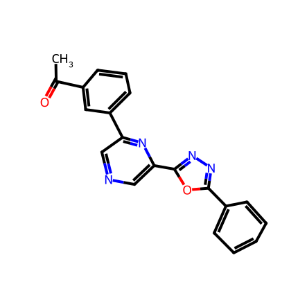 CC(=O)c1cccc(-c2cncc(-c3nnc(-c4ccccc4)o3)n2)c1